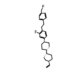 C=C[C@H]1CC[C@H]([C@H]2CC[C@H](c3ccc(CCc4ccc(CF)cc4)c(F)c3)CC2)CC1